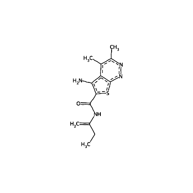 C=C(CC)NC(=O)c1sc2nnc(C)c(C)c2c1N